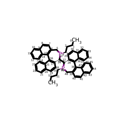 CCCC[P@]1Cc2ccc3ccccc3c2-c2c(ccc3ccccc23)[C@H]1[C@@H]1c2ccc3ccccc3c2-c2c(ccc3ccccc23)C[P@@]1CCCC